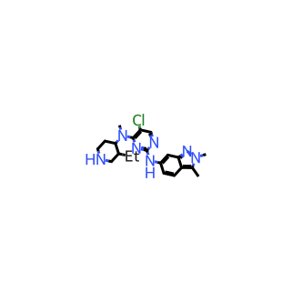 CCC1CNCCC1N(C)c1nc(Nc2ccc3c(C)n(C)nc3c2)ncc1Cl